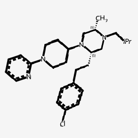 CC(C)CN1C[C@H](CCc2ccc(Cl)cc2)N(C2CCN(c3ccccn3)CC2)C[C@@H]1C